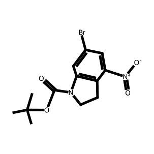 CC(C)(C)OC(=O)N1CCc2c1cc(Br)cc2[N+](=O)[O-]